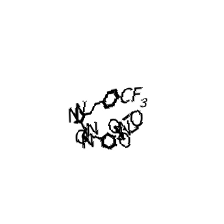 Cn1ncc(-c2nc(-c3cccc(S(=O)(=O)N4CCOCC4)c3)no2)c1CCc1ccc(C(F)(F)F)cc1